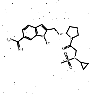 CCn1c(CC[C@@H]2CCCN2C(=O)CN(C2CC2)S(C)(=O)=O)cc2ccc(C(=N)N)cc21